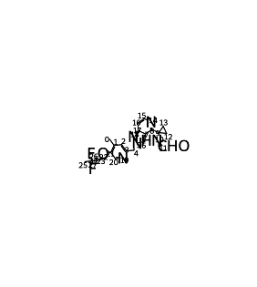 Cc1cc(Cn2cc3c(C4(NC=O)CC4)nccc3n2)ncc1OCC(C)(F)F